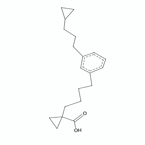 O=C(O)C1(CCCCc2cccc(CCCC3CC3)c2)CC1